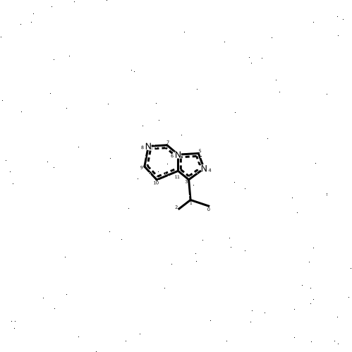 CC(C)c1ncn2cnccc12